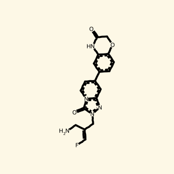 NC/C(=C\F)Cn1nc2cc(-c3ccc4c(c3)NC(=O)CO4)ccn2c1=O